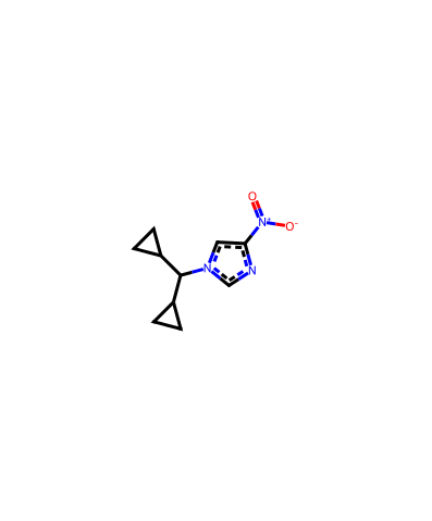 O=[N+]([O-])c1cn(C(C2CC2)C2CC2)cn1